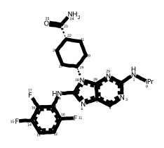 CC(C)Nc1ncc2nc(Nc3c(F)ccc(F)c3F)n([C@H]3CC[C@@H](C(N)=O)CC3)c2n1